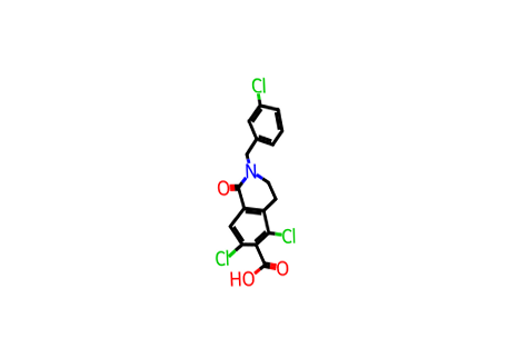 O=C(O)c1c(Cl)cc2c(c1Cl)CCN(Cc1cccc(Cl)c1)C2=O